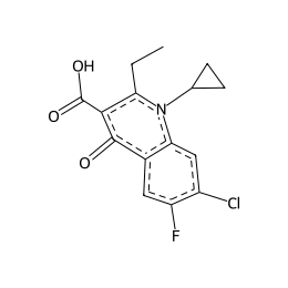 CCc1c(C(=O)O)c(=O)c2cc(F)c(Cl)cc2n1C1CC1